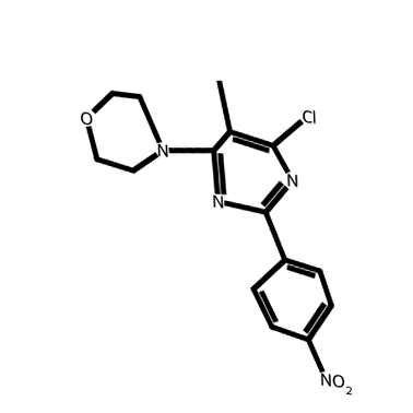 Cc1c(Cl)nc(-c2ccc([N+](=O)[O-])cc2)nc1N1CCOCC1